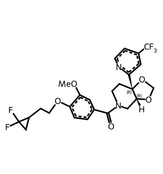 COc1cc(C(=O)N2CC[C@]3(c4cc(C(F)(F)F)ccn4)OCO[C@@H]3C2)ccc1OCCC1CC1(F)F